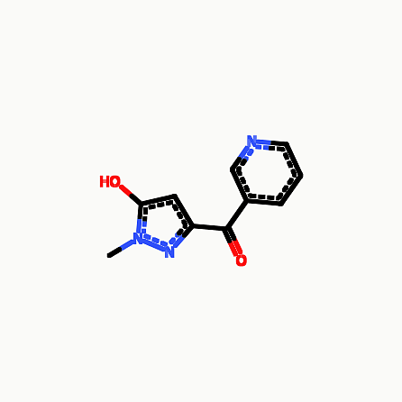 Cn1nc(C(=O)c2cccnc2)cc1O